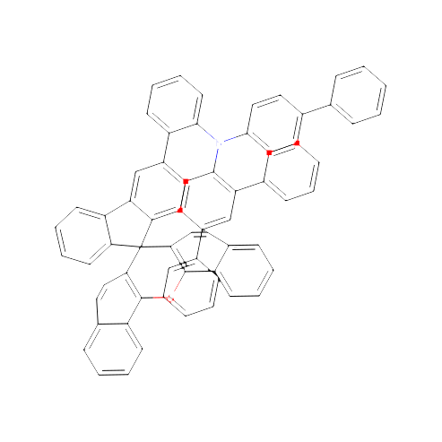 c1ccc(-c2ccc(N(c3ccccc3-c3ccc4c(c3)-c3ccccc3C43c4ccc5ccccc5c4Oc4c3ccc3ccccc43)c3ccc(-c4ccccc4)cc3-c3ccccc3)cc2)cc1